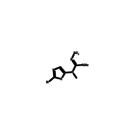 CNC(=N[N+](=O)[O-])N(C)c1cnc(Br)s1